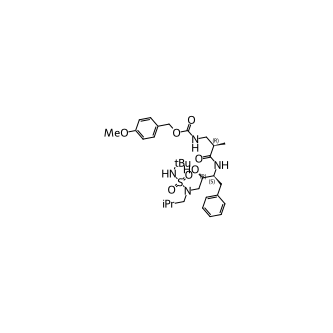 COc1ccc(COC(=O)NC[C@@H](C)C(=O)N[C@@H](Cc2ccccc2)[C@H](O)CN(CC(C)C)S(=O)(=O)NC(C)(C)C)cc1